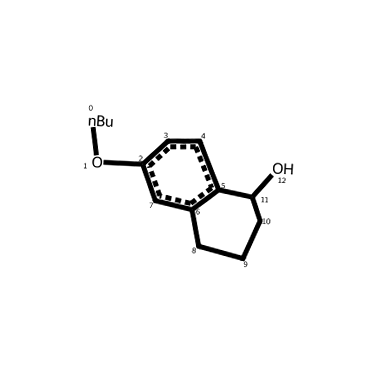 CCCCOc1ccc2c(c1)CCCC2O